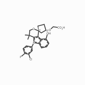 CC1(C)CO[C@@]2(CC[C@H](OCC(=O)O)C2)c2c1n(-c1ccc(F)c(Cl)c1)c1cccc(O)c21